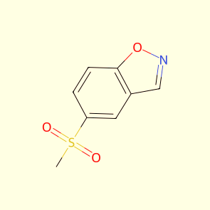 CS(=O)(=O)c1ccc2oncc2c1